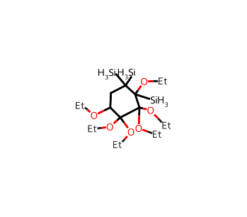 CCOC1CC([SiH3])([SiH3])C([SiH3])(OCC)C(OCC)(OCC)C1(OCC)OCC